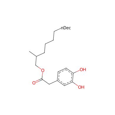 CCCCCCCCCCCCCCC(C)COC(=O)Cc1ccc(O)c(O)c1